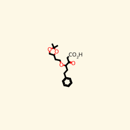 CC1(C)OCC(CCOC(CCc2ccccc2)C(=O)CC(=O)O)O1